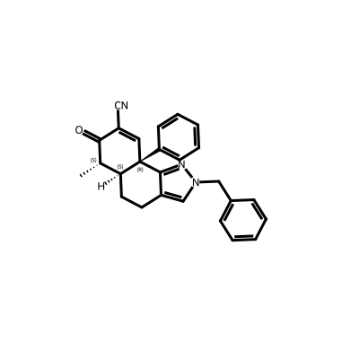 C[C@@H]1C(=O)C(C#N)=C[C@]2(c3ccccc3)c3nn(Cc4ccccc4)cc3CC[C@@H]12